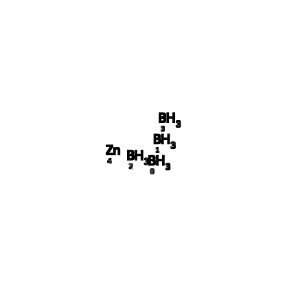 B.B.B.B.[Zn]